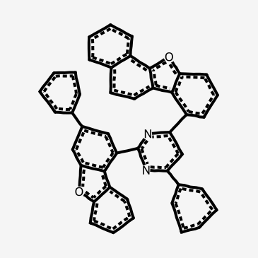 c1ccc(-c2cc(-c3nc(-c4ccccc4)cc(-c4cccc5oc6c7ccccc7ccc6c45)n3)c3c(c2)oc2ccccc23)cc1